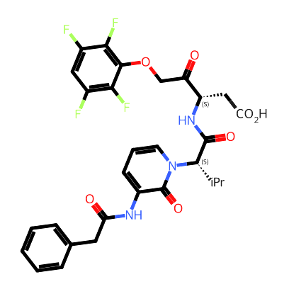 CC(C)[C@@H](C(=O)N[C@@H](CC(=O)O)C(=O)COc1c(F)c(F)cc(F)c1F)n1cccc(NC(=O)Cc2ccccc2)c1=O